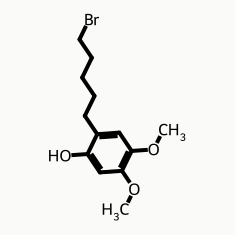 COc1cc(O)c(CCCCCBr)cc1OC